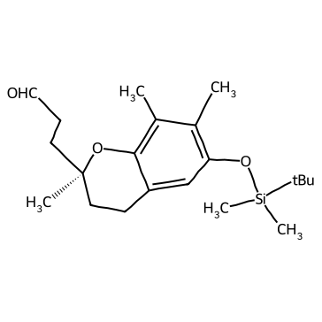 Cc1c(O[Si](C)(C)C(C)(C)C)cc2c(c1C)O[C@](C)(CCC=O)CC2